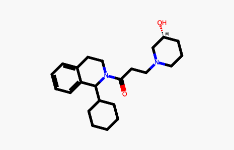 O=C(CCN1CCC[C@@H](O)C1)N1CCc2ccccc2C1C1CCCCC1